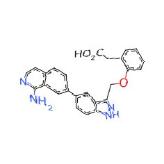 Nc1nccc2ccc(-c3ccc4[nH]nc(COc5ccccc5CC(=O)O)c4c3)cc12